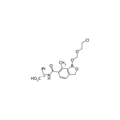 Cc1c(C(=O)N[C@H](C(=O)O)C(C)C)ccc2c1B(OCOCCCl)OC2